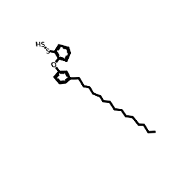 CCCCCCCCCCCCCCCc1cccc(Oc2ccccc2SS)c1